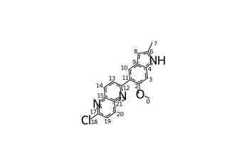 COc1cc2[nH]c(C)cc2cc1-c1ccc2nc(Cl)ccc2n1